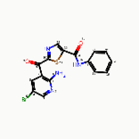 Nc1ncc(Br)cc1C(=O)c1ncc(C(=O)Nc2ccccc2)s1